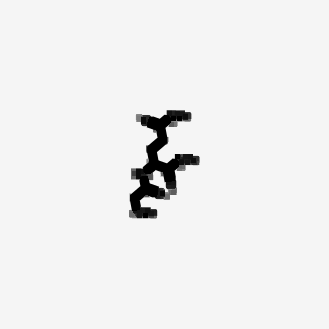 CNCC(=O)NC(CCC(=O)NC)C(=O)NC